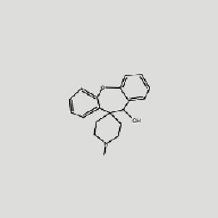 CN1CCC2(CC1)c1ccccc1Oc1ccccc1C2O